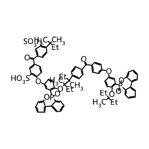 CCC(C)(CC)Oc1ccc(Oc2ccc(C(=O)c3ccc(C(C)(CC)C(C)(CC)Oc4ccc(Oc5ccc(C(=O)c6ccc(C(C)(C)CC)c(S(=O)(=O)O)c6)cc5S(=O)(=O)O)cc4P4(=O)Oc5ccccc5-c5ccccc54)cc3)cc2)cc1P1(=O)Oc2ccccc2-c2ccccc21